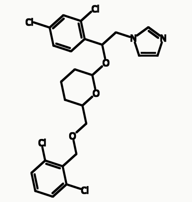 Clc1ccc(C(Cn2ccnc2)OC2CCCC(COCc3c(Cl)cccc3Cl)O2)c(Cl)c1